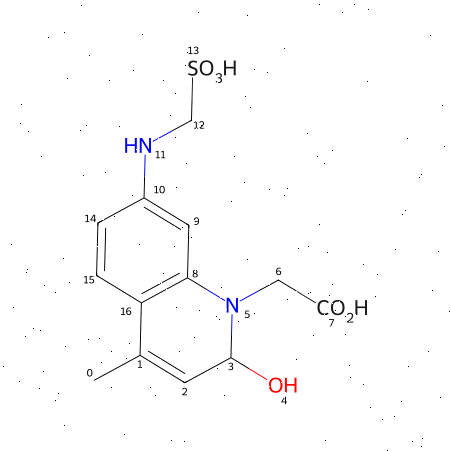 CC1=CC(O)N(CC(=O)O)c2cc(NCS(=O)(=O)O)ccc21